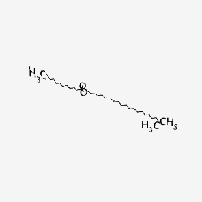 CCCCCCCCCCCC(=O)OCCCCCCCCCCCCCCCCCCCC(C)C